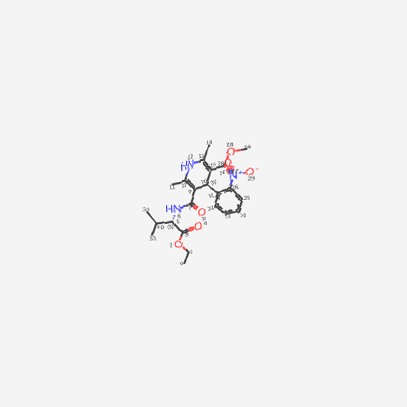 CCOC(=O)[C@@H](NC(=O)C1=C(C)NC(C)=C(C(=O)OC)[C@H]1c1ccccc1[N+](=O)[O-])C(C)C